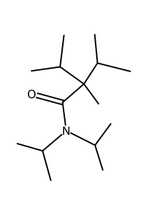 CC(C)N(C(=O)C(C)(C(C)C)C(C)C)C(C)C